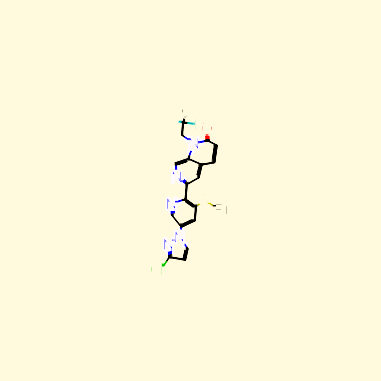 CCSc1cc(-n2ccc(Cl)n2)cnc1-c1cc2ccc(=O)n(CC(F)(F)C(F)(F)F)c2cn1